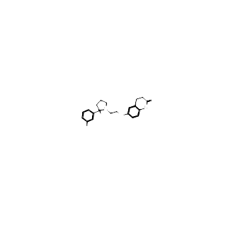 CC1(c2cccc(F)c2)CCCN1CCOc1ccc2c(c1)CCC(=O)N2